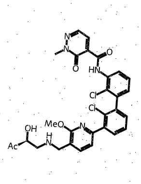 COc1nc(-c2cccc(-c3cccc(NC(=O)c4ccnn(C)c4=O)c3Cl)c2Cl)ccc1CNC[C@H](O)C(C)=O